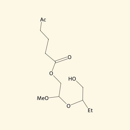 CCC(CO)OC(COC(=O)CCCC(C)=O)OC